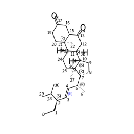 CC[C@H](/C=C/[C@@H](C)[C@H]1CC[C@H]2[C@@H]3CC(=O)C4CC(=O)CC[C@]4(C)[C@H]3CC[C@]12C)C(C)C